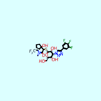 CN(CC(F)(F)F)C(=O)C(S[C@@H]1O[C@H](CO)[C@H](O)[C@H](n2cc(-c3cc(F)c(F)c(F)c3)nn2)[C@H]1O)C1(O)CCCC1